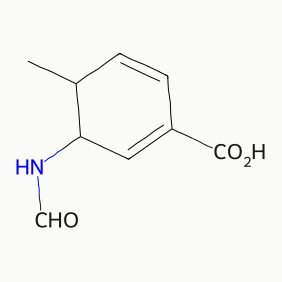 CC1C=CC(C(=O)O)=CC1NC=O